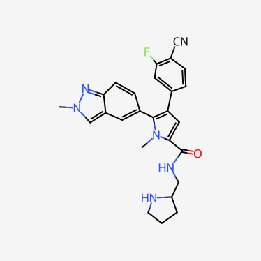 Cn1cc2cc(-c3c(-c4ccc(C#N)c(F)c4)cc(C(=O)NCC4CCCN4)n3C)ccc2n1